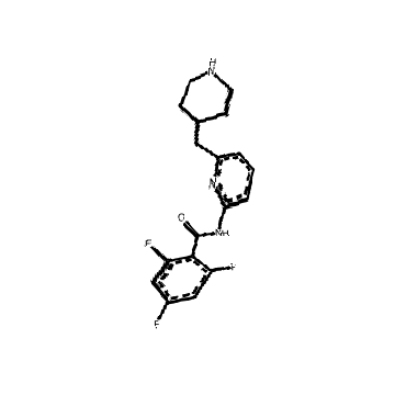 O=C(Nc1cccc(CC2CCNCC2)n1)c1c(F)cc(F)cc1F